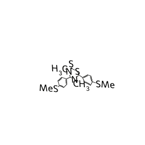 CSc1ccc(C2SC(=S)N(C)C(c3ccc(SC)cc3)N2C)cc1